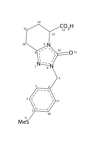 CSc1ccc(Cn2nc3n(c2=O)C(C(=O)O)CCC3)cc1